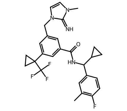 Cc1cc(C(NC(=O)c2cc(Cn3ccn(C)c3=N)cc(C3(C(F)(F)F)CC3)c2)C2CC2)ccc1F